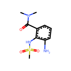 CN(C)C(=O)c1cccc(N)c1NS(C)(=O)=O